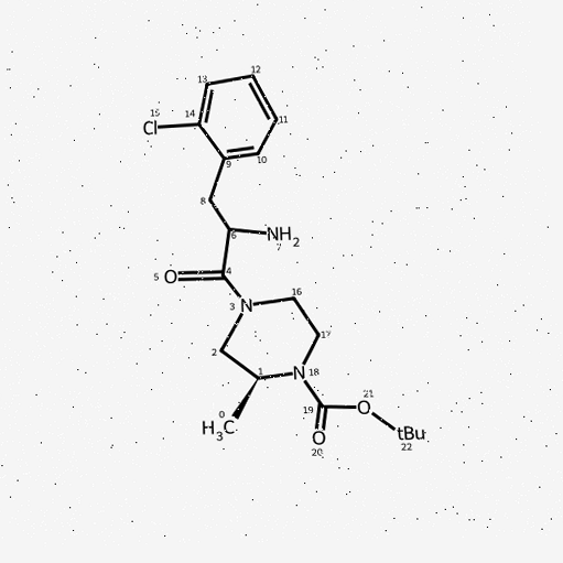 C[C@H]1CN(C(=O)C(N)Cc2ccccc2Cl)CCN1C(=O)OC(C)(C)C